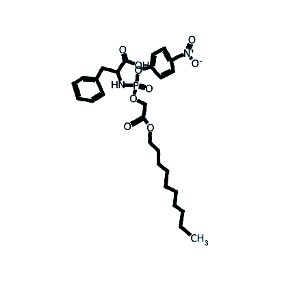 CCCCCCCCCCOC(=O)COP(=O)(NC(Cc1ccccc1)C(=O)O)Oc1ccc([N+](=O)[O-])cc1